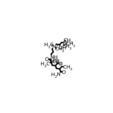 CCC(CC(CC(C)(C)C(=O)NCCC[N+](C)(C)CC(O)C[N+](C)(C)C)C(=O)O)C(N)=O